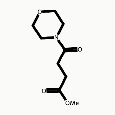 COC(=O)CCC(=O)N1CCOCC1